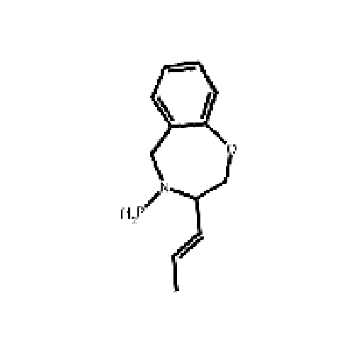 C/C=C/C1COc2ccccc2CN1P